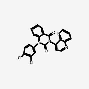 O=c1c2ccccc2n(-c2ccc(Cl)c(Cl)c2)c(=O)n1-c1ccnc2cccnc12